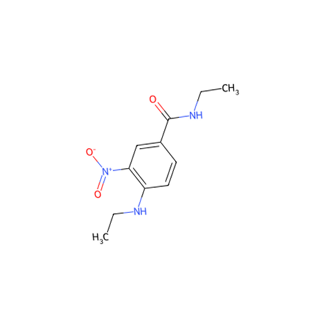 CCNC(=O)c1ccc(NCC)c([N+](=O)[O-])c1